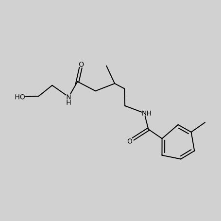 Cc1cccc(C(=O)NCCC(C)CC(=O)NCCO)c1